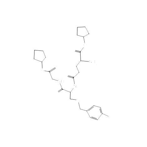 NC(CCC(=O)NC(CSCc1ccc(Br)cc1)C(=O)NCC(=O)OC1CCCC1)C(=O)OC1CCCC1